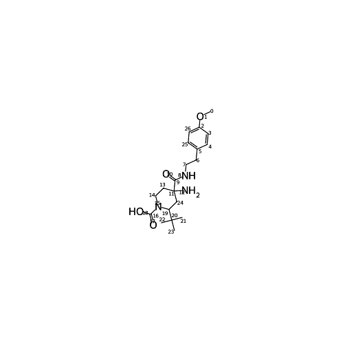 COc1ccc(CCNC(=O)C2(N)CCN(C(=O)O)C(C(C)(C)C)C2)cc1